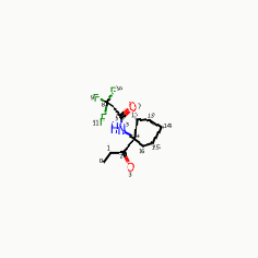 CCC(=O)C1(NC(=O)C(F)(F)F)CCCCC1